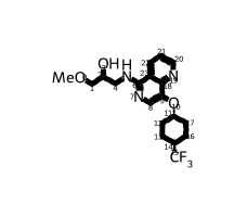 COCC(O)CNc1ncc(O[C@H]2CC[C@H](C(F)(F)F)CC2)c2ncccc12